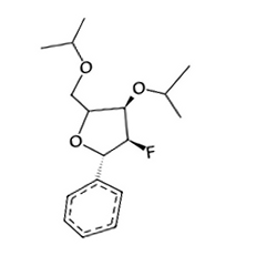 CC(C)OCC1O[C@@H](c2ccccc2)[C@H](F)[C@@H]1OC(C)C